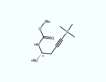 CCCC[C@@H](CC#C[Si](C)(C)C)NC(=O)OC(C)(C)C